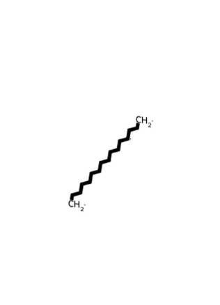 [CH2]CC[CH]CCCCCCCCCCC[CH2]